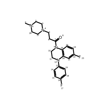 CN1CCN(CCC(=O)N2CCN(c3ccc(F)cc3)c3cc(F)ccc32)CC1